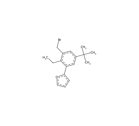 CCc1c(CBr)cc(C(C)(C)C)cc1-c1ccco1